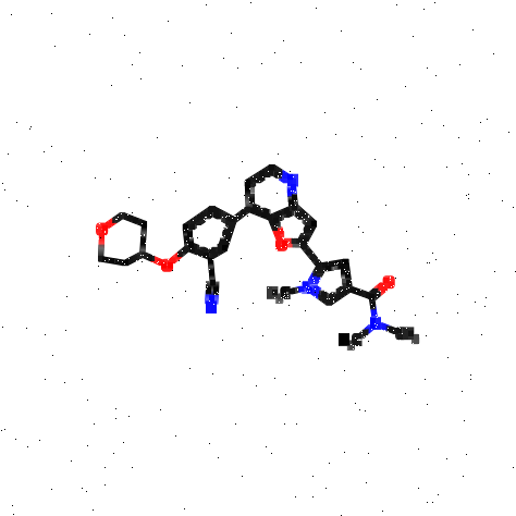 CN(C)C(=O)c1cc(-c2cc3nccc(-c4ccc(OC5CCOCC5)c(C#N)c4)c3o2)n(C)c1